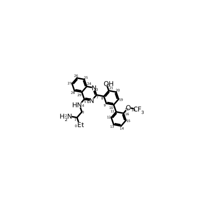 CCC(N)CNc1nc(-c2cc(-c3ccccc3OC(F)(F)F)ccc2O)nc2ccccc12